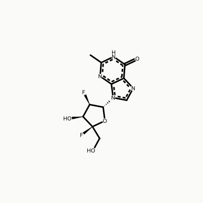 Cc1nc2c(ncn2[C@@H]2O[C@](F)(CO)[C@@H](O)[C@H]2F)c(=O)[nH]1